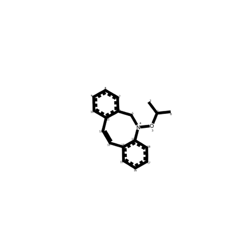 CC(C)ON1Cc2ccccc2/C=C\c2ccccc21